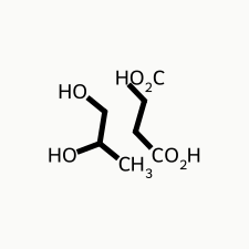 CC(O)CO.O=C(O)CCC(=O)O